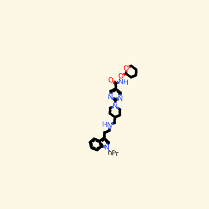 CCCn1cc(CCNCC2CCN(c3ncc(C(=O)NOC4CCCCO4)cn3)CC2)c2ccccc21